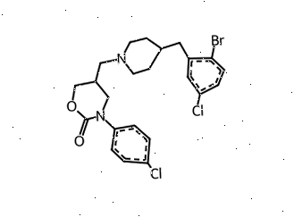 O=C1OCC(CN2CCC(Cc3cc(Cl)ccc3Br)CC2)CN1c1ccc(Cl)cc1